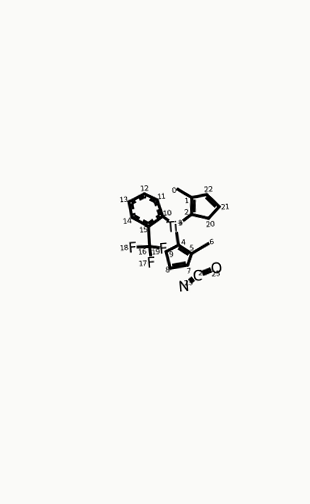 CC1=[C]([Ti+]([C]2=C(C)C=CC2)[c]2ccccc2C(F)(F)F)CC=C1.[N-]=C=O